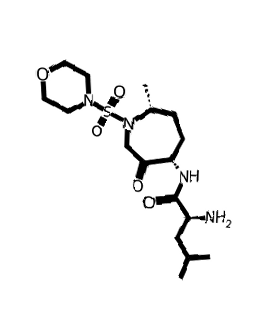 CC(C)C[C@H](N)C(=O)N[C@H]1CC[C@@H](C)N(S(=O)(=O)N2CCOCC2)CC1=O